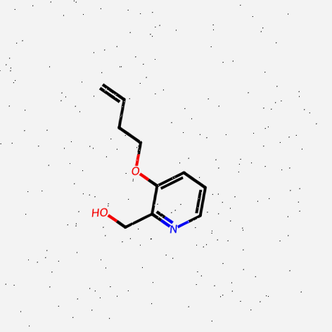 C=CCCOc1cccnc1CO